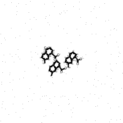 Cc1ccc2cccc(C(=O)[O-])c2c1.Cc1ccc2cccc(C(=O)[O-])c2c1.Cc1ccc2cccc(C(=O)[O-])c2c1.[Ga+3]